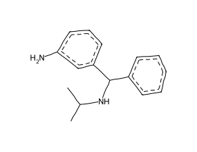 CC(C)NC(c1ccccc1)c1cccc(N)c1